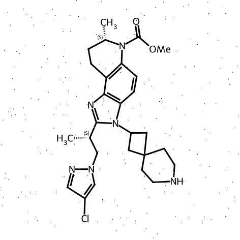 COC(=O)N1c2ccc3c(nc([C@@H](C)Cn4cc(Cl)cn4)n3C3CC4(CCNCC4)C3)c2CC[C@@H]1C